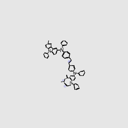 C=C1/C=C(C)\C=C/CN(c2ccccc2)c2ccc(N(c3ccccc3)c3ccc(/C=C/c4ccc(N(c5ccccc5)c5ccc6c(c5)c5cc(C)ccc5n6-c5ccccc5)cc4)cc3)cc21